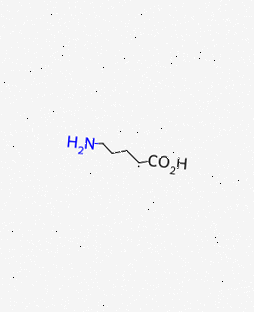 NCCC[CH]C(=O)O